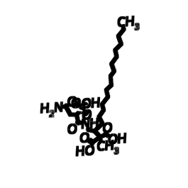 CCCCCCCCCCCCCCCCC(CNC(=O)C(CC(N)=O)S(=O)(=O)O)C(C)(C(=O)O)C(=O)O